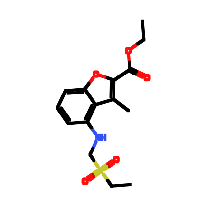 CCOC(=O)c1oc2cccc(NCS(=O)(=O)CC)c2c1C